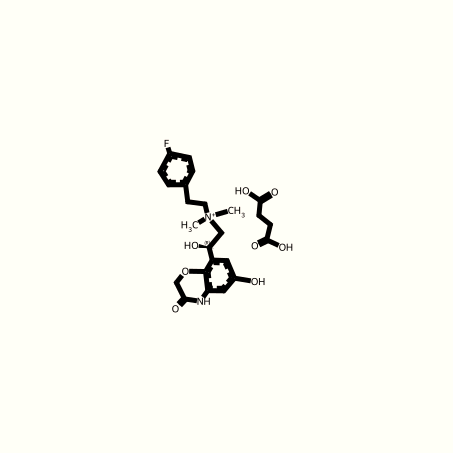 C[N+](C)(CCc1ccc(F)cc1)C[C@H](O)c1cc(O)cc2c1OCC(=O)N2.O=C(O)CCC(=O)O